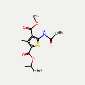 CCCCCCC(C)OC(=O)c1sc(NC(=O)OCC(C)C)c(C(=O)OC(C)(C)C)c1C